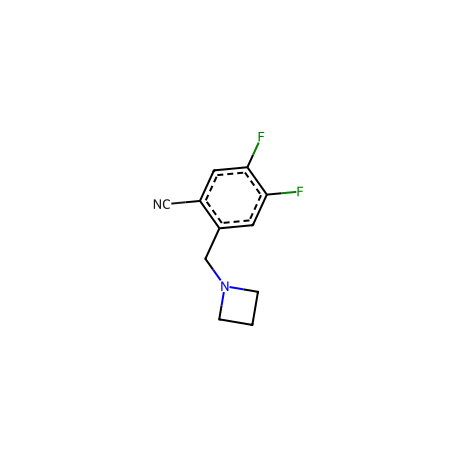 N#Cc1cc(F)c(F)cc1CN1CCC1